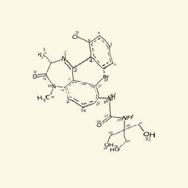 CC1N=C(c2ccccc2Cl)c2c(ccc(NC(=O)NC(CO)(CO)CO)c2Br)N(C)C1=O